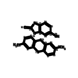 Cc1ccc2c(c1)Sc1ccc(C)cc1S2.O=c1oc2cc(O)ccc2s1